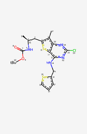 Cc1c(C[C@H](C)NC(=O)OC(C)(C)C)sc2c(NCc3cccs3)nc(Cl)nc12